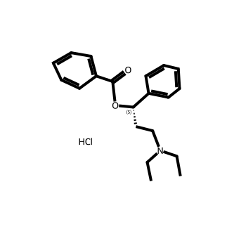 CCN(CC)CC[C@H](OC(=O)c1ccccc1)c1ccccc1.Cl